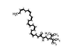 CC/C=C\C/C=C\C/C=C\C/C=C\C/C=C\C/C=C\CCC(=O)NCCN(C(C)C)C(C)C